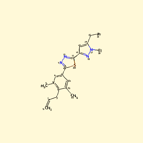 C=CCc1c(C)cc(-c2nnc(-c3cc(CC(C)C)n(CC)n3)s2)cc1C